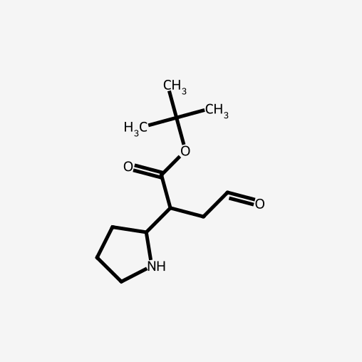 CC(C)(C)OC(=O)C(CC=O)C1CCCN1